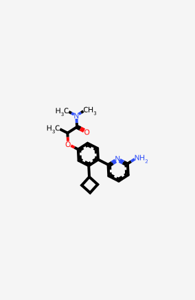 CC(Oc1ccc(-c2cccc(N)n2)c(C2CCC2)c1)C(=O)N(C)C